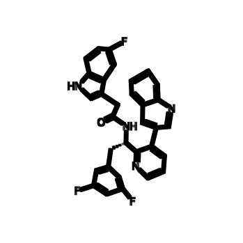 O=C(Cc1c[nH]c2ccc(F)cc12)N[C@@H](Cc1cc(F)cc(F)c1)c1ncccc1-c1cnc2ccccc2c1